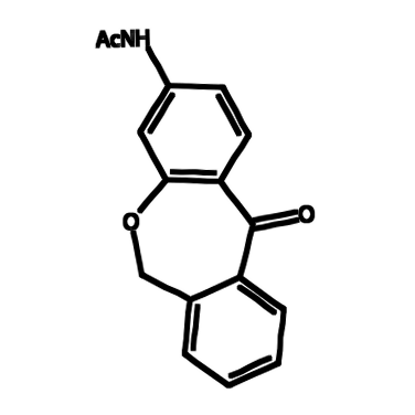 CC(=O)Nc1ccc2c(c1)OCc1ccccc1C2=O